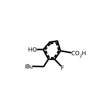 CCC(C)Cc1c(O)ccc(C(=O)O)c1F